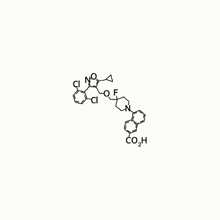 O=C(O)c1ccc2c(N3CCC(F)(COCc4c(-c5c(Cl)cccc5Cl)noc4C4CC4)CC3)cccc2c1